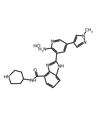 Cl.Cn1cc(-c2cnc(N)c(-c3nc4c(C(=O)NC5CCNCC5)cccc4[nH]3)c2)cn1